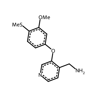 COc1cc(Oc2cnccc2CN)ccc1SC